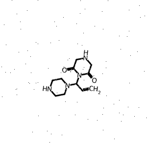 C=CC(N1CCNCC1)N1C(=O)CNCC1=O